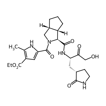 CCOC(=O)c1cc(C(=O)N2C[C@@H]3CCC[C@@H]3[C@H]2C(=O)N[C@@H](C[C@@H]2CCNC2=O)C(=O)CO)[nH]c1C